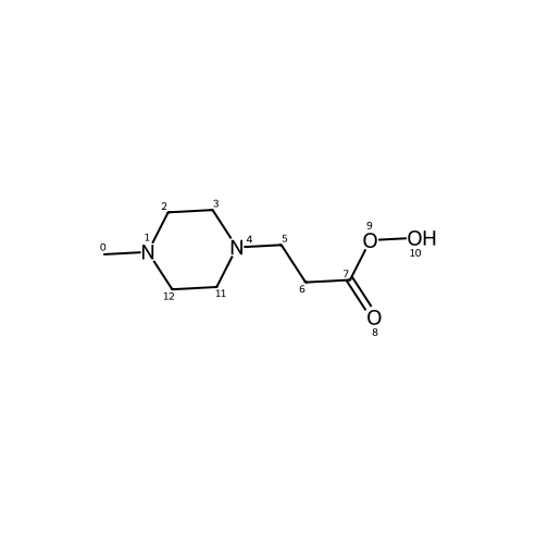 CN1CCN(CCC(=O)OO)CC1